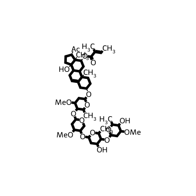 C/C=C(\C)C(=O)O[C@@H]1CC2C(CC=C3C[C@@H](OC4CC(OC)C(OC5CC(OC)C(OC6CC(O)C(OC7CC(OC)C(O)C(C)O7)C(C)O6)CO5)C(C)O4)CC[C@@]32C)[C@@]2(O)CC[C@H](C(C)=O)[C@@]12C